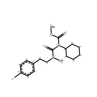 CC(C)(C)OC(=O)N(C(=O)N(C#N)CCc1ccc(I)cc1)C1CCCCC1